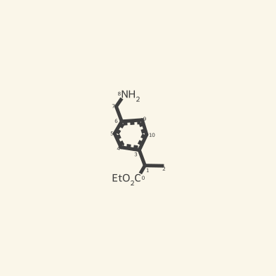 CCOC(=O)C(C)c1ccc(CN)cc1